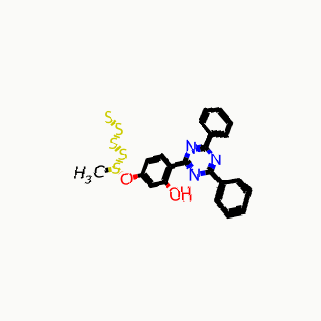 CS(Oc1ccc(-c2nc(-c3ccccc3)nc(-c3ccccc3)n2)c(O)c1)=S=S=S=S